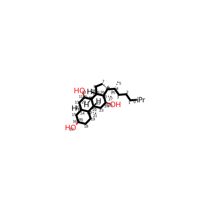 CC(C)CCC[C@@H](C)[C@H]1CC[C@H]2[C@@H]3[C@H](O)C[C@@H]4C[C@H](O)CC[C@]4(C)[C@H]3C[C@H](O)[C@]12C